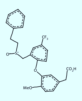 COc1ccc(CC(=O)O)cc1Oc1ccc(C(F)(F)F)cc1C[S+]([O-])CCc1ccccc1